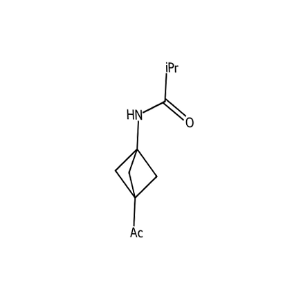 CC(=O)C12CC(NC(=O)C(C)C)(C1)C2